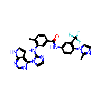 Cc1ccc(C(=O)Nc2ccc(-n3ccnc3C)c(C(F)(F)F)c2)cc1Nc1nccn1-c1ncnc2[nH]ccc12